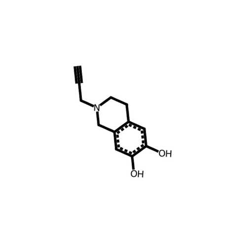 C#CCN1CCc2cc(O)c(O)cc2C1